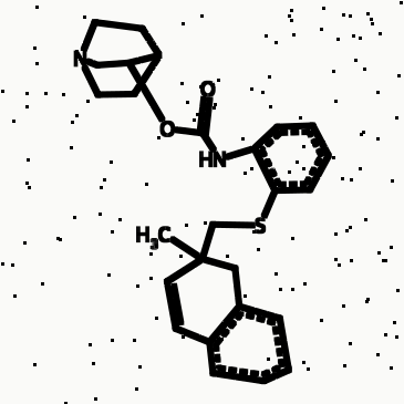 CC1(CSc2ccccc2NC(=O)OC2CN3CCC2CC3)C=Cc2ccccc2C1